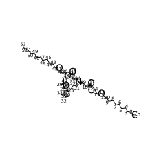 CCCCCCCCCCCCOCCOC(=O)CCN(CCC[Si](C)(OC(C)C)OC(C)C)CCC(=O)OCCOCCCCCCCCCCCC